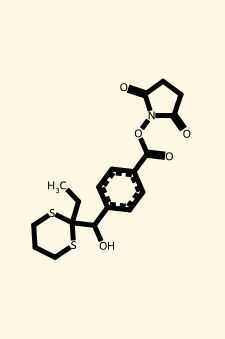 CCC1(C(O)c2ccc(C(=O)ON3C(=O)CCC3=O)cc2)SCCCS1